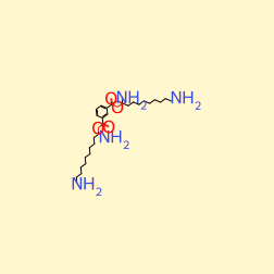 NCCCCCCCCCC(N)OC(=O)c1cccc(C(=O)OC(N)CCCCCCCCCN)c1